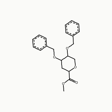 COC(=O)C1CC(OCc2ccccc2)C(OCc2ccccc2)CO1